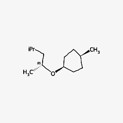 CC(C)C[C@@H](C)O[C@H]1CC[C@@H](C)CC1